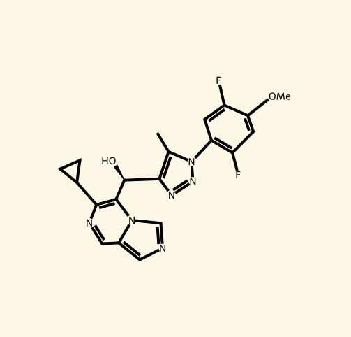 COc1cc(F)c(-n2nnc([C@H](O)c3c(C4CC4)ncc4cncn34)c2C)cc1F